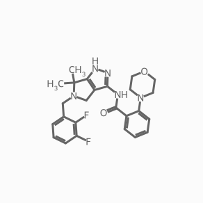 CC1(C)c2[nH]nc(NC(=O)c3ccccc3N3CCOCC3)c2CN1Cc1cccc(F)c1F